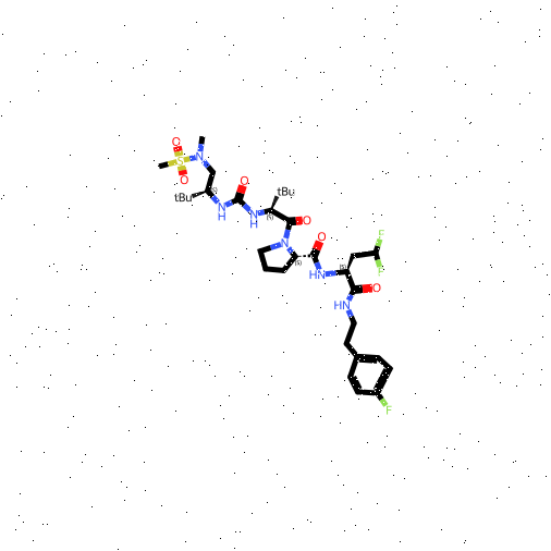 CN(C[C@@H](NC(=O)N[C@H](C(=O)N1CCC[C@H]1C(=O)N[C@@H](CC(F)F)C(=O)NCCc1ccc(F)cc1)C(C)(C)C)C(C)(C)C)S(C)(=O)=O